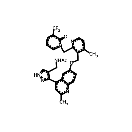 CC(=O)NCc1c[nH]nc1-c1cc(C)nc2ccc(OCc3c(C)ccnc3Cn3cccc(C(F)(F)F)c3=O)cc12